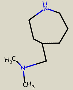 CN(C)CC1CCCNCC1